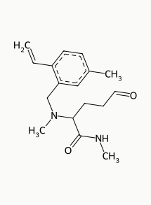 C=Cc1ccc(C)cc1CN(C)C(CCC=O)C(=O)NC